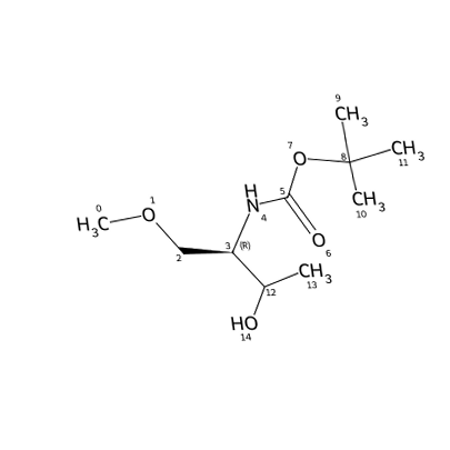 COC[C@@H](NC(=O)OC(C)(C)C)C(C)O